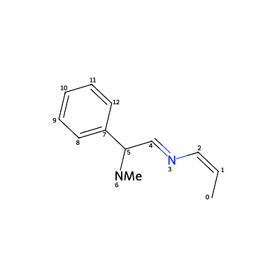 C/C=C\N=C\C(NC)c1ccccc1